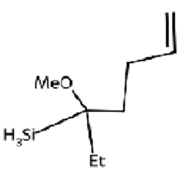 C=CCCC([SiH3])(CC)OC